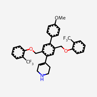 COc1ccc(-c2cc(COc3ccccc3C(F)(F)F)c(C3=CCNCC3)cc2COc2ccccc2C(F)(F)F)cc1